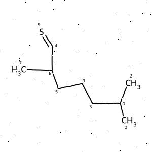 CC(C)CCCC(C)C=S